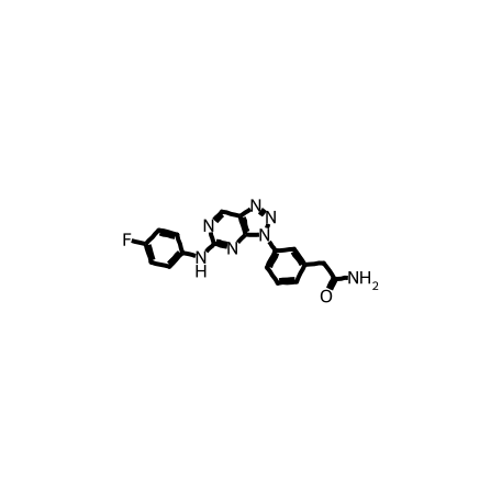 NC(=O)Cc1cccc(-n2nnc3cnc(Nc4ccc(F)cc4)nc32)c1